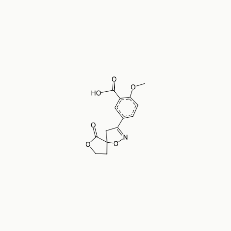 COc1ccc(C2=NOC3(CCOC3=O)C2)cc1C(=O)O